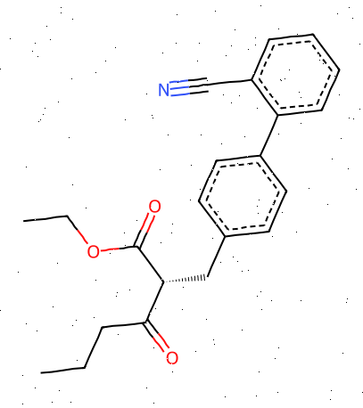 CCCC(=O)[C@@H](Cc1ccc(-c2ccccc2C#N)cc1)C(=O)OCC